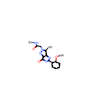 CCCOc1ccccc1-c1nc2c(CCC)n(CC(=O)NCC)nc2c(=O)[nH]1